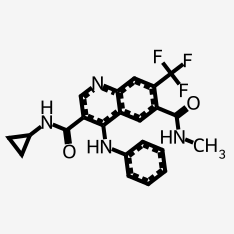 CNC(=O)c1cc2c(Nc3ccccc3)c(C(=O)NC3CC3)cnc2cc1C(F)(F)F